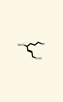 COC(C=CCC=O)CCCC(C)C